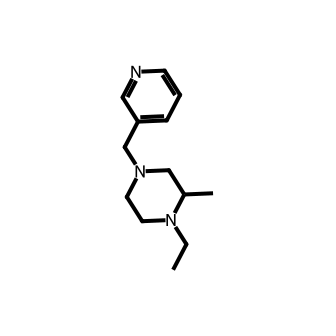 CCN1CCN(Cc2cccnc2)CC1C